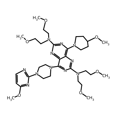 COCCN(CCOC)c1nc(N2CCN(c3nccc(OC)n3)CC2)c2nc(N(CCOC)CCOC)nc(N3CCC(OC)CC3)c2n1